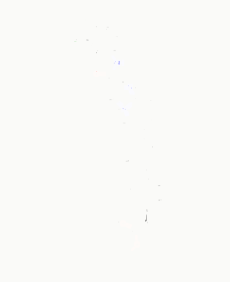 CCOC(=O)C[C@H]1CC[C@H](c2ccc(-c3ccc4nc(C(=O)Nc5ccc(Cl)c(Cl)c5)cn4c3)cc2)CC1